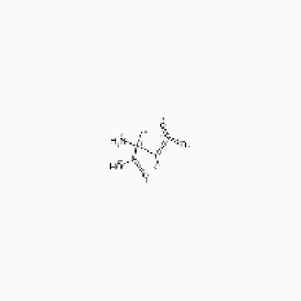 CC(=S(=O)=O)C(C)(N)C(=O)O